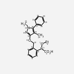 CCON(C(=O)O)c1ccccc1COc1nn(C)c(-c2ccccc2)c1C